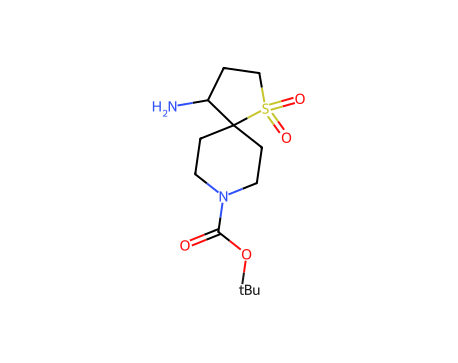 CC(C)(C)OC(=O)N1CCC2(CC1)C(N)CCS2(=O)=O